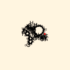 COc1ccc2c(O[C@@H]3C[C@H]4C(=O)N[C@]5(C(=O)NS(=O)(=O)C6(C)CC6)C[C@H]5/C=C\CC[C@@H](C)C[C@@H](C)[C@H](N(C(=O)O)[C@H](C)C(F)(F)F)C(=O)N4C3)nc(-c3ccc(OC(C)C)c(F)c3)cc2c1